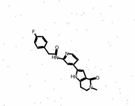 CN1CCc2[nH]c(-c3ccnc(NC(=O)Cc4ccc(F)cc4)c3)cc2C1=O